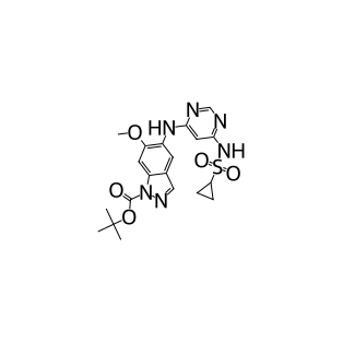 COc1cc2c(cnn2C(=O)OC(C)(C)C)cc1Nc1cc(NS(=O)(=O)C2CC2)ncn1